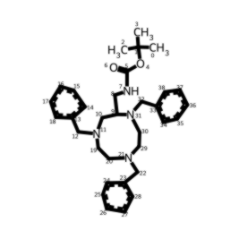 CC(C)(C)OC(=O)NCC1CN(Cc2ccccc2)CCN(Cc2ccccc2)CCN1Cc1ccccc1